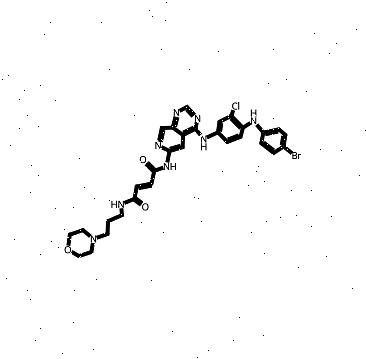 O=C(C=CC(=O)Nc1cc2c(Nc3ccc(Nc4ccc(Br)cc4)c(Cl)c3)ncnc2cn1)NCCCN1CCOCC1